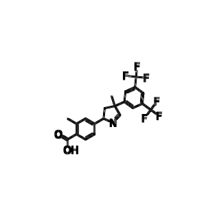 Cc1cc(C2CC(C)(c3cc(C(F)(F)F)cc(C(F)(F)F)c3)C=N2)ccc1C(=O)O